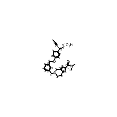 CC#C[C@@H](CC(=O)O)c1ccc(OCc2cccc(CN3CCc4sc(C(=O)N(C)C)cc4C3)c2)cc1